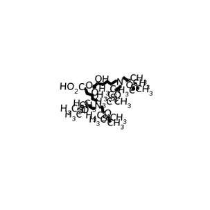 CC(CN(CCCCC(OC(=O)C(O)CCCCN(C[C@@H](C)O[Si](C)(C)C)C[C@@H](C)O[Si](C)(C)C)C(=O)O)C[C@@H](C)O[Si](C)(C)C)O[Si](C)(C)C